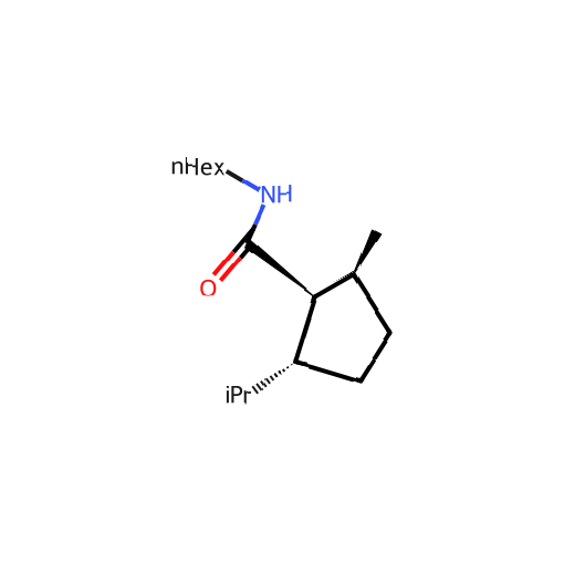 CCCCCCNC(=O)[C@@H]1[C@@H](C(C)C)CC[C@@H]1C